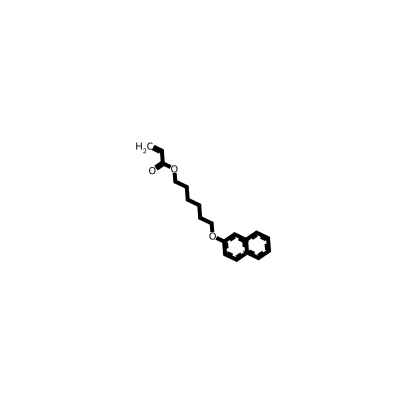 C=CC(=O)OCCCCCCOc1ccc2ccccc2c1